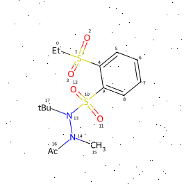 CCS(=O)(=O)c1ccccc1S(=O)(=O)N(N(C)C(C)=O)C(C)(C)C